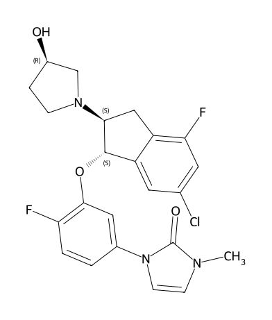 Cn1ccn(-c2ccc(F)c(O[C@H]3c4cc(Cl)cc(F)c4C[C@@H]3N3CC[C@@H](O)C3)c2)c1=O